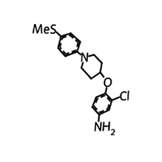 CSc1ccc(N2CCC(Oc3ccc(N)cc3Cl)CC2)cc1